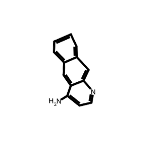 Nc1ccnc2cc3ccccc3cc12